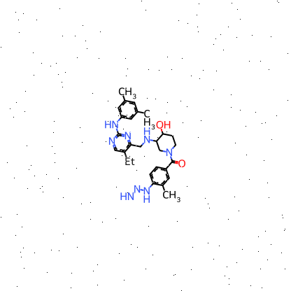 CCc1cnc(Nc2cc(C)cc(C)c2)nc1CNC1CN(C(=O)c2ccc(NN=N)c(C)c2)CCC1O